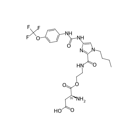 CCCCn1cc(NC(=O)Nc2ccc(OC(F)(F)F)cc2)nc1C(=O)NCCOC(=O)[C@@H](N)CC(=O)O